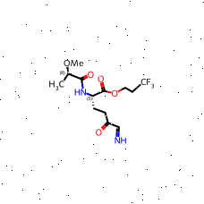 CO[C@H](C)C(=O)N[C@@H](CCC(=O)C=N)C(=O)OCCC(F)(F)F